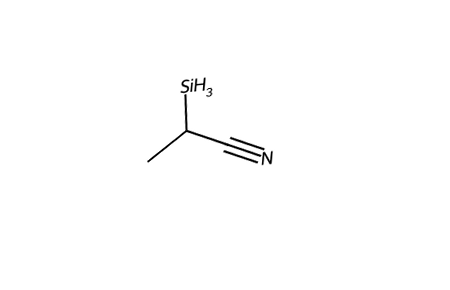 CC([SiH3])C#N